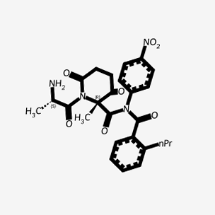 CCCc1ccccc1C(=O)N(C(=O)[C@@]1(C)C(=O)CCC(=O)N1C(=O)[C@H](C)N)c1ccc([N+](=O)[O-])cc1